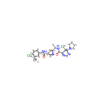 CC(NC(=O)c1ncnc(N2CCCC2)c1Cl)c1ncc(C(=O)Nc2ccc(Cl)c(C(F)(F)F)c2)s1